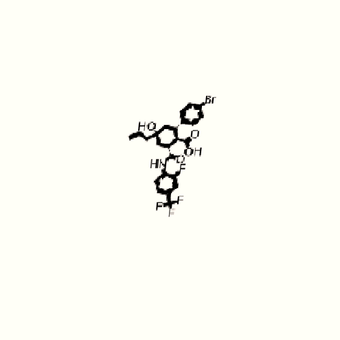 C=CC[C@@]1(O)C[C@H](c2ccc(Br)cc2)[C@@H](C(=O)O)[C@H](C(=O)Nc2ccc(C(F)(F)F)cc2F)C1